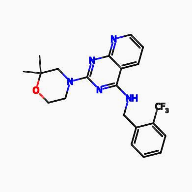 CC1(C)CN(c2nc(NCc3ccccc3C(F)(F)F)c3cccnc3n2)CCO1